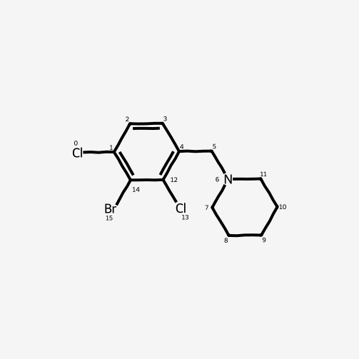 Clc1ccc(CN2CCCCC2)c(Cl)c1Br